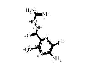 N=C(N)NNC(=O)c1nc(F)c(N)nc1N